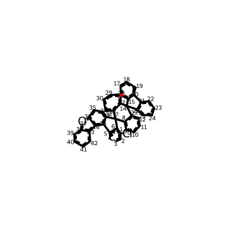 Clc1cccc2c1C1(c3ccccc3C3(c4ccccc4-c4ccccc43)c3ccccc31)c1ccc3oc4ccccc4c3c1-2